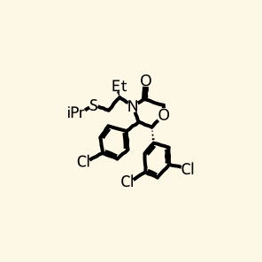 CC[C@@H](CSC(C)C)N1C(=O)CO[C@H](c2cc(Cl)cc(Cl)c2)C1c1ccc(Cl)cc1